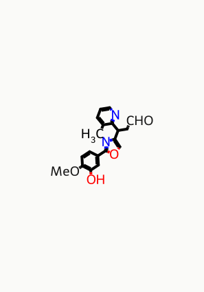 COc1ccc(-c2nc(C(CC=O)c3ncccc3C)co2)cc1O